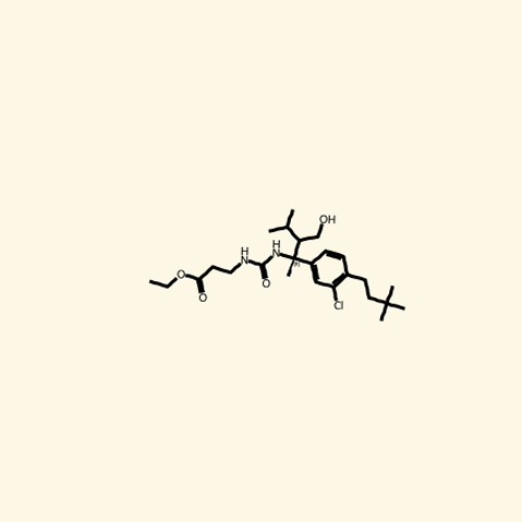 CCOC(=O)CCNC(=O)N[C@@](C)(c1ccc(CCC(C)(C)C)c(Cl)c1)C(CO)C(C)C